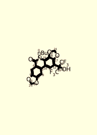 CCCCn1c(=O)c2cc3c(cc2c2cc(C(O)(C(F)(F)F)C(F)(F)F)c4c(c21)OCO4)OCO3